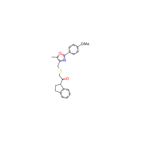 COc1ccc(-c2nc(CSCC(=O)C3CCc4ccccc43)c(C)o2)cc1